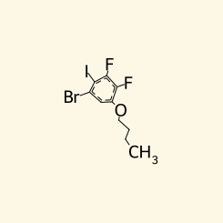 CCCCOc1cc(Br)c(I)c(F)c1F